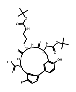 CC(C)(C)OC(=O)NCCC[C@@H]1NC(=O)[C@@H](NC(=O)OC(C)(C)C)Cc2cc(ccc2O)-c2ccc(F)c(c2)C[C@@H](C(=O)O)NC1=O